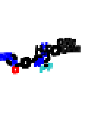 COC1=CCC(C)([C@@H]2C[C@H](C(F)F)n3nc(-c4ccc(C(=O)N5CCNCC5)cc4)cc3N2)C=C1OC